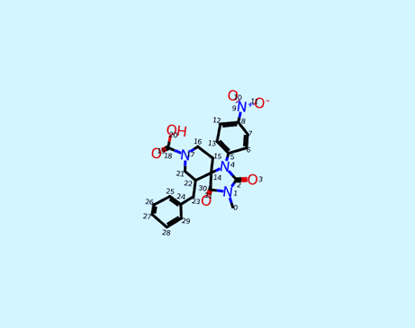 CN1C(=O)N(c2ccc([N+](=O)[O-])cc2)C2(CCN(C(=O)O)CC2Cc2ccccc2)C1=O